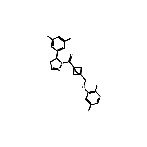 O=C(N1N=CCC1c1cc(F)cc(F)c1)C12CC(COc3cc(F)cnc3F)(C1)C2